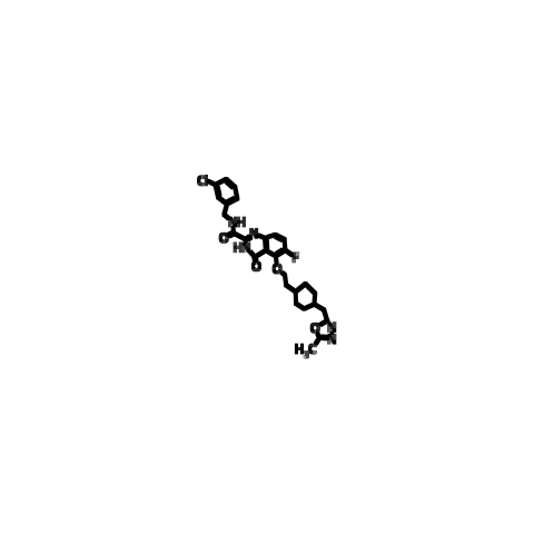 Cc1nnc(CC2CCC(CCOc3c(F)ccc4nc(C(=O)NCc5cccc(Cl)c5)[nH]c(=O)c34)CC2)o1